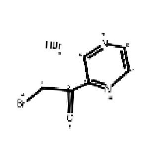 Br.O=C(CBr)c1cnccn1